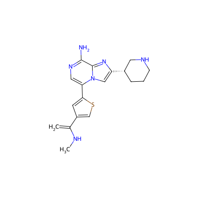 C=C(NC)c1csc(-c2cnc(N)c3nc([C@H]4CCCNC4)cn23)c1